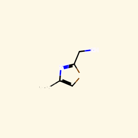 CNc1csc(C[NH])n1